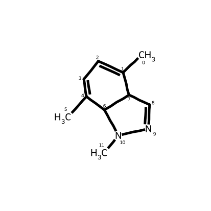 CC1=CC=C(C)C2C1C=NN2C